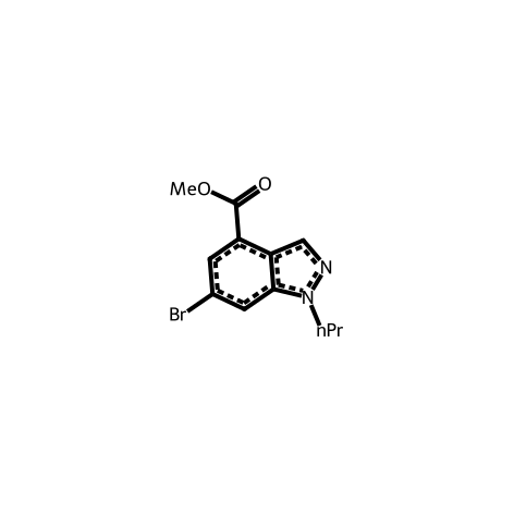 CCCn1ncc2c(C(=O)OC)cc(Br)cc21